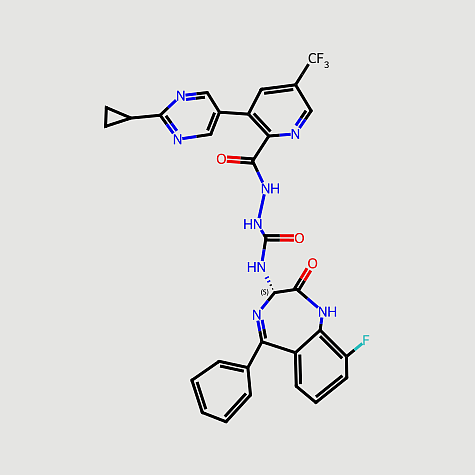 O=C(NNC(=O)c1ncc(C(F)(F)F)cc1-c1cnc(C2CC2)nc1)N[C@H]1N=C(c2ccccc2)c2cccc(F)c2NC1=O